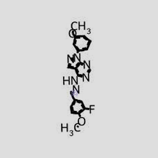 COc1cccc(-n2ncc3c(N/N=C/c4ccc(OC)c(F)c4)ncnc32)c1